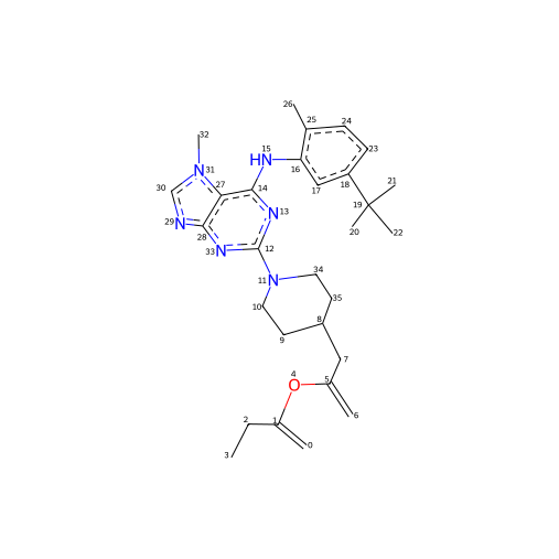 C=C(CC)OC(=C)CC1CCN(c2nc(Nc3cc(C(C)(C)C)ccc3C)c3c(ncn3C)n2)CC1